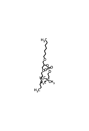 CCCCCCCOCC(COCCCCCCC)OP(=O)([O-])OCC[N+](C)(C)C